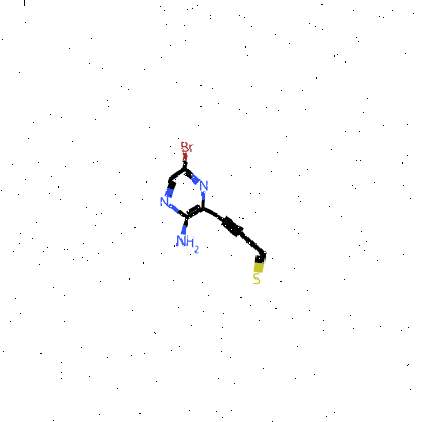 Nc1ncc(Br)nc1C#CC=S